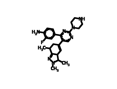 CC1CC(c2cnc(N3CCNCC3)nc2-c2ccc(N)c(F)c2)=CC2C1=NN(C)C2C